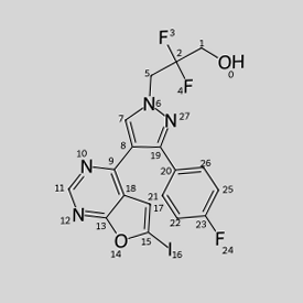 OCC(F)(F)Cn1cc(-c2ncnc3oc(I)cc23)c(-c2ccc(F)cc2)n1